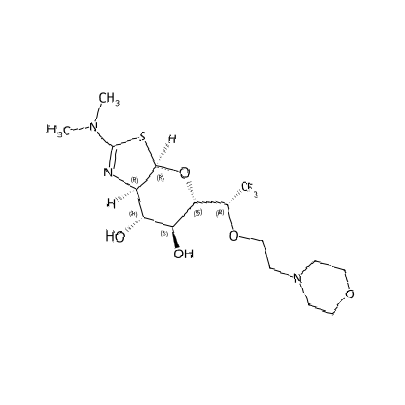 CN(C)C1=N[C@@H]2[C@@H](O)[C@H](O)[C@@H]([C@@H](OCCN3CCOCC3)C(F)(F)F)O[C@@H]2S1